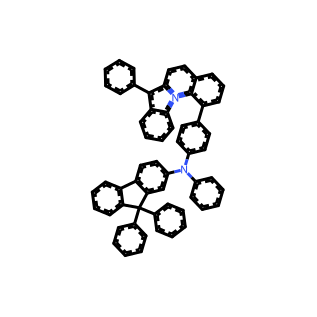 c1ccc(-c2c3ccccc3n3c2ccc2cccc(-c4ccc(N(c5ccccc5)c5ccc6c(c5)C(c5ccccc5)(c5ccccc5)c5ccccc5-6)cc4)c23)cc1